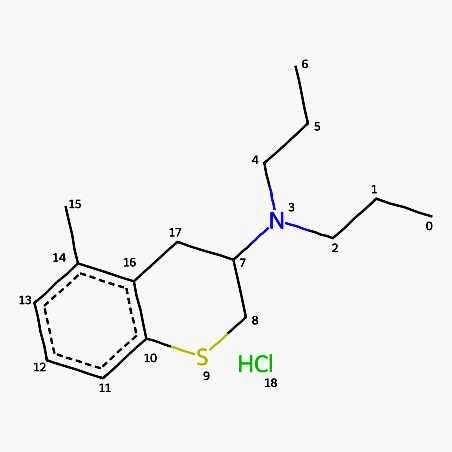 CCCN(CCC)C1CSc2cccc(C)c2C1.Cl